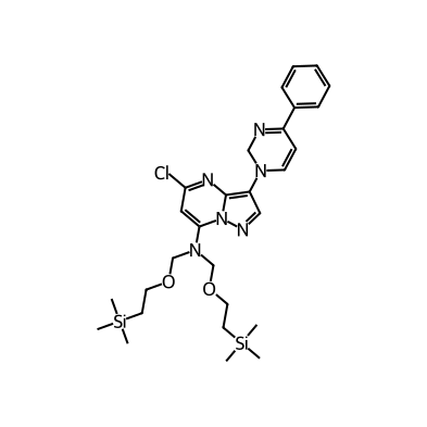 C[Si](C)(C)CCOCN(COCC[Si](C)(C)C)c1cc(Cl)nc2c(N3C=CC(c4ccccc4)=NC3)cnn12